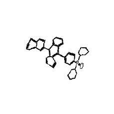 O=P(c1ccc(-c2c3ccccc3c(-c3ccc4ccccc4c3)c3ccccc23)cc1)(C1CCCCC1)C1CCCCC1